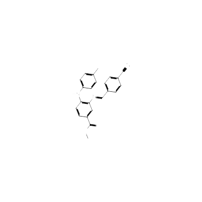 COC(=O)c1ccc(Nc2ccc(C)cc2)c(N=Cc2ccc(C#N)cc2)c1